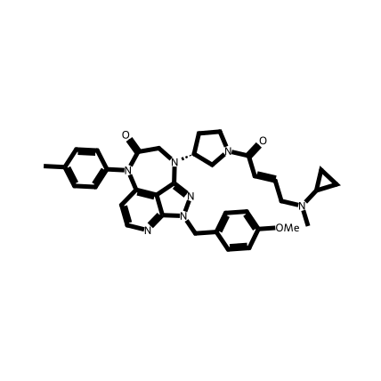 COc1ccc(Cn2nc3c4c(ccnc42)N(c2ccc(C)cc2)C(=O)CN3[C@@H]2CCN(C(=O)/C=C/CN(C)C3CC3)C2)cc1